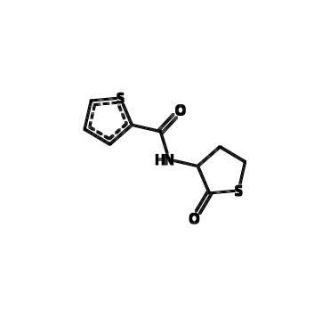 O=C(NC1CCSC1=O)c1cccs1